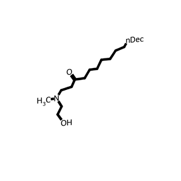 CCCCCCCCCCCCCCCCCC(=O)CCN(C)CCO